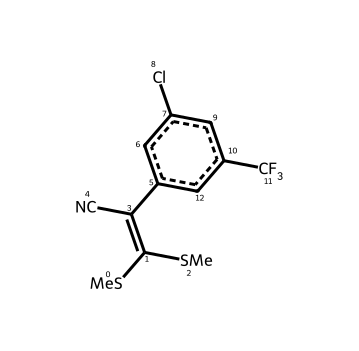 CSC(SC)=C(C#N)c1cc(Cl)cc(C(F)(F)F)c1